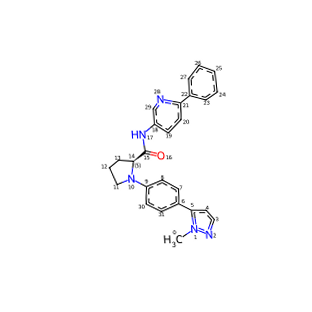 Cn1nccc1-c1ccc(N2CCC[C@H]2C(=O)Nc2ccc(-c3ccccc3)nc2)cc1